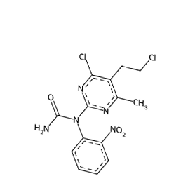 Cc1nc(N(C(N)=O)c2ccccc2[N+](=O)[O-])nc(Cl)c1CCCl